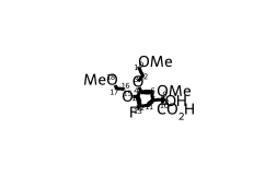 COCCOc1cc(C(O)(OC)C(=O)O)cc(F)c1OCCOC